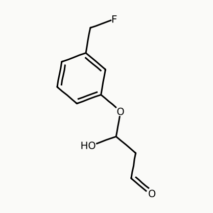 O=CCC(O)Oc1cccc(CF)c1